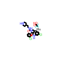 CC(C)(C)C[C@@H]1CN(C(=O)NCCC2CCNCC2)[C@H](c2cccc(Cl)c2F)[C@]12C(=O)Nc1cc(Cl)ccc12.O=C(O)C(F)(F)F